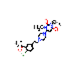 CC(=O)c1cc(CCN2CCN(c3cc(=O)n(C)c(=O)n3C)CC2)ccc1Cl